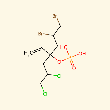 C=CC(CC(Cl)CCl)(CC(Br)CBr)OP(=O)(O)O